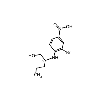 CCC[C@@H](CO)Nc1ccc([N+](=O)O)cc1Br